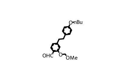 CCCCOc1ccc(CCc2ccc(C=O)c(OCOC)c2)cc1